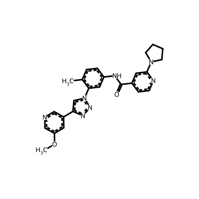 COc1cncc(-c2cn(-c3cc(NC(=O)c4ccnc(N5CCCC5)c4)ccc3C)nn2)c1